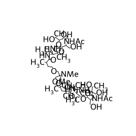 CNC(COC)(COCCC(C)C(=O)NC(C)(N)CC(C)(C)OC(OC(CO)[C@@H](C)O)[C@H](CO)NC(C)=O)COC(C)(C)CC(C)(C)C(=O)NC(C)(N)CC(C)(C)OC(OC(CO)[C@@H](C)O)[C@H](CO)NC(C)=O